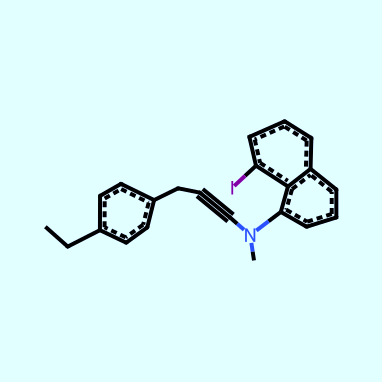 CCc1ccc(CC#CN(C)c2cccc3cccc(I)c23)cc1